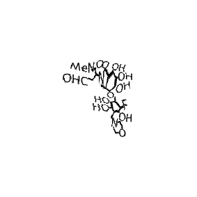 CNC(=O)C(CCC=O)N1Cc2c(OCc3c(O)c(O)c(CN4CCOCC4)c(O)c3F)c(O)c(O)c(O)c2C1=O